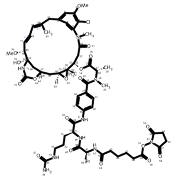 COc1cc2cc(c1Cl)N(C)C(=O)C[C@H](OC(=O)[C@H](C)N(C)C(=O)c1ccc(NC(=O)[C@H](CCCNC(N)=O)NC(=O)[C@@H](NC(=O)CCCCC(=O)ON3C(=O)CCC3=O)C(C)C)cc1)[C@]1(C)O[C@H]1C[C@@H]1C[C@@](O)(NC(=O)O1)[C@H](OC)/C=C/C=C(\C)C2